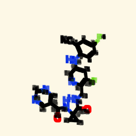 N#Cc1cc(F)ccc1Nc1cnc(CNC(=O)C2(NC(=O)c3cncnc3)CC2)c(F)c1